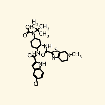 CN1CCc2nc(C(=O)N[C@@H]3CC(N(C(=O)O)C(C)(C)C)CC[C@@H]3NC(=O)c3cc4cc(Cl)ccc4[nH]3)sc2C1